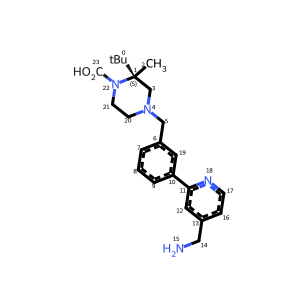 CC(C)(C)[C@@]1(C)CN(Cc2cccc(-c3cc(CN)ccn3)c2)CCN1C(=O)O